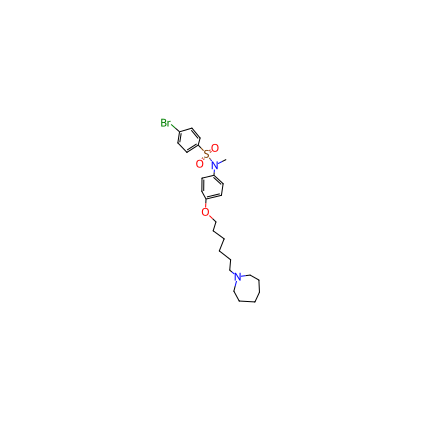 CN(c1ccc(OCCCCCCN2CCCCCC2)cc1)S(=O)(=O)c1ccc(Br)cc1